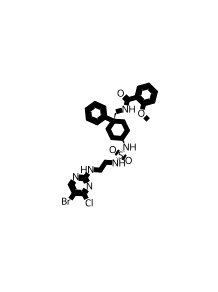 COc1ccccc1C(=O)NC[C@]1(c2ccccc2)CC[C@H](NS(=O)(=O)NCCNc2ncc(Br)c(Cl)n2)CC1